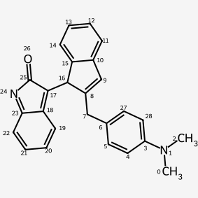 CN(C)c1ccc(CC2=Cc3ccccc3C2C2=c3ccccc3=NC2=O)cc1